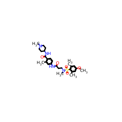 COc1cc(C)c(S(=O)(=O)N(C)CCC(=O)Nc2ccc(C(=O)NC3CCN(C)CC3)c(C)c2)c(C)c1